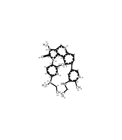 CCNc1cc(-c2ccc3ncc4c(c3c2)n(-c2ccc(N(C)CC)nc2C)c(=O)n4C)cnc1C